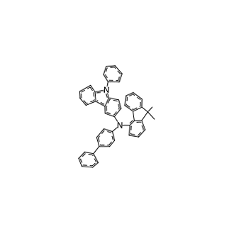 CC1(C)c2ccccc2-c2c(N(c3ccc(-c4ccccc4)cc3)c3ccc4c(c3)c3ccccc3n4-c3ccccc3)cccc21